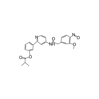 COc1cc(CC(=O)Nc2ccnc(-c3cccc(OC(=O)C(C)C)c3)c2)ccc1N=O